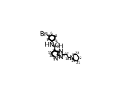 O=C(Nc1cccc(Br)c1)c1ccnc2nc(CCN3CCCCC3)[nH]c12